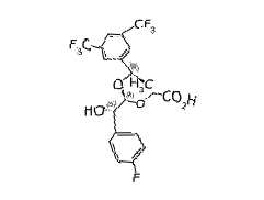 C[C@@H](O[C@@H](OCC(=O)O)[C@@H](O)c1ccc(F)cc1)c1cc(C(F)(F)F)cc(C(F)(F)F)c1